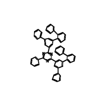 c1ccc(-c2cc(-c3nc(-c4ccccc4)nc(-c4cc(-c5ccccc5)cc(-c5ccccc5-c5ccccc5)c4)n3)cc(-c3ccccc3-c3ccccc3)c2)cc1